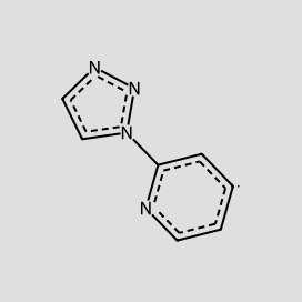 [c]1ccnc(-n2ccnn2)c1